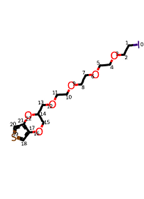 ICCOCCOCCOCCOCC1COc2cscc2O1